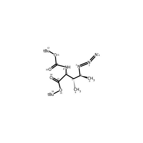 C[C@H](N=[N+]=[N-])[C@H](C)C(NC(=O)OC(C)(C)C)C(=O)OC(C)(C)C